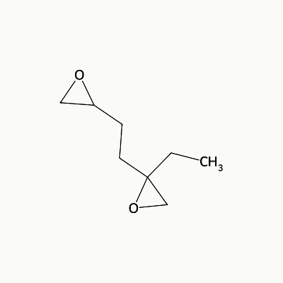 CCC1(CCC2CO2)CO1